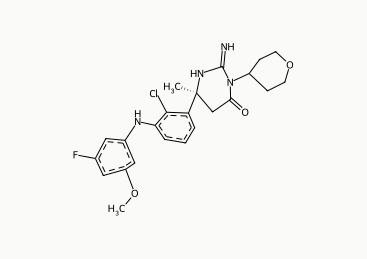 COc1cc(F)cc(Nc2cccc([C@]3(C)CC(=O)N(C4CCOCC4)C(=N)N3)c2Cl)c1